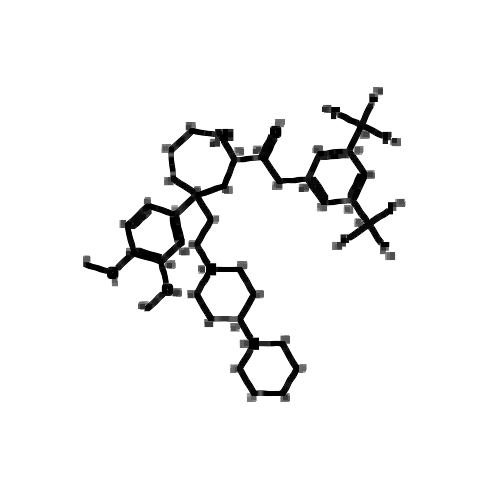 COc1ccc(C2(CCN3CCC(N4CCCCC4)CC3)CCCNC(C(=O)Cc3cc(C(F)(F)F)cc(C(F)(F)F)c3)C2)cc1OC